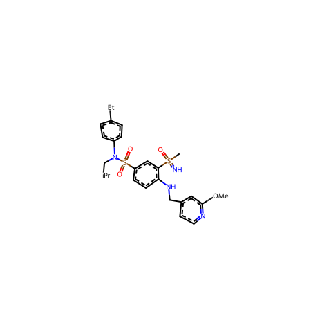 CCc1ccc(N(CC(C)C)S(=O)(=O)c2ccc(NCc3ccnc(OC)c3)c(S(C)(=N)=O)c2)cc1